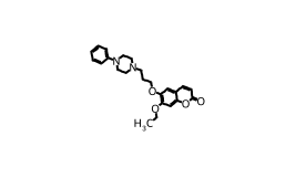 CCOc1cc2oc(=O)ccc2cc1OCCCN1CCN(c2ccccc2)CC1